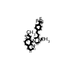 Cc1cc2c(s1)CC=c1cccnc1=C2N1CCN(C)C(CCc2ccc(C(F)(F)F)cc2)C1